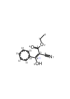 CCOC(=O)/C(C#N)=C(/O)c1ccccc1